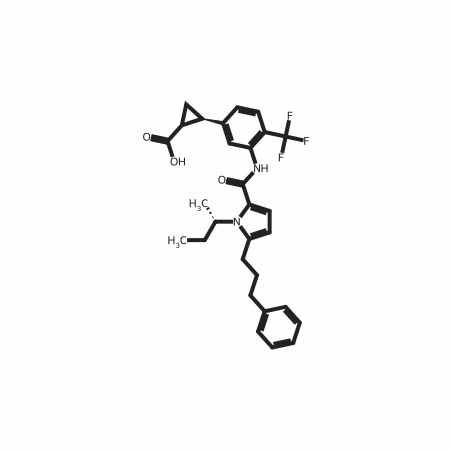 CC[C@H](C)n1c(CCCc2ccccc2)ccc1C(=O)Nc1cc([C@@H]2CC2C(=O)O)ccc1C(F)(F)F